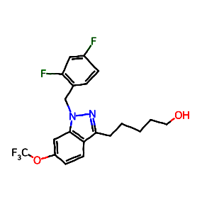 OCCCCCc1nn(Cc2ccc(F)cc2F)c2cc(OC(F)(F)F)ccc12